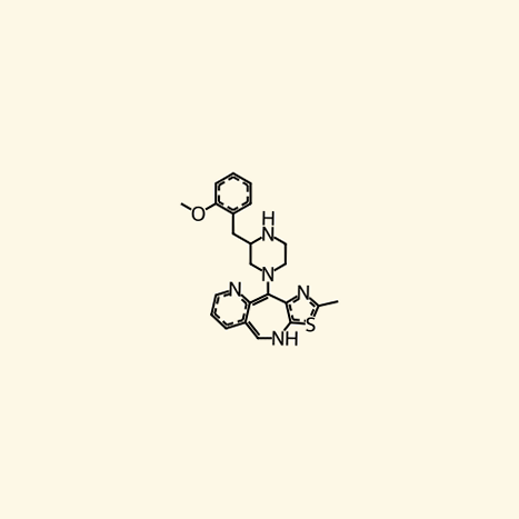 COc1ccccc1CC1CN(C2=c3ncccc3=CNc3sc(C)nc32)CCN1